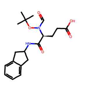 CC(C)(C)ON(C=O)[C@@H](CCC(=O)O)C(=O)NC1Cc2ccccc2C1